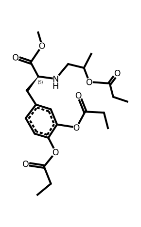 CCC(=O)Oc1ccc(C[C@H](NCC(C)OC(=O)CC)C(=O)OC)cc1OC(=O)CC